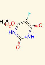 O.O=c1[nH]cc(F)c(=O)[nH]1.[AlH3]